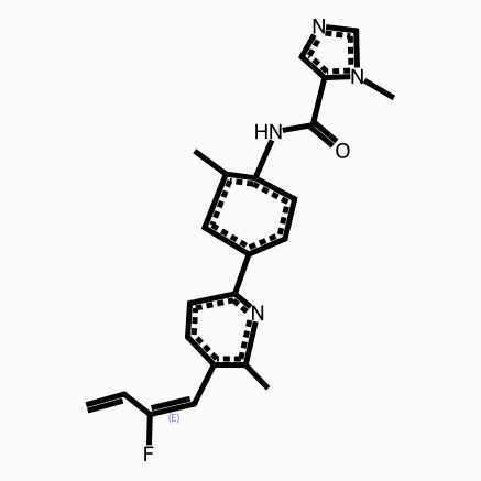 C=C/C(F)=C\c1ccc(-c2ccc(NC(=O)c3cncn3C)c(C)c2)nc1C